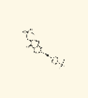 O=c1c2ccc(C#Cc3ccc(C(F)(F)F)cc3)cc2nc2n1CCC(O)(O)CC2